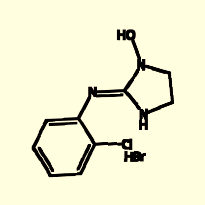 Br.ON1CCN/C1=N\c1ccccc1Cl